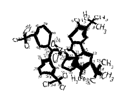 Cc1cc2c(cc1C(C)(C)C)-c1cc(C(C)(C)C)c(C)cc1[CH]2[Zr]([Cl])([Cl])(=[C](c1cccc(C(Cl)(Cl)Cl)c1)c1cccc(C(Cl)(Cl)Cl)c1)[CH]1C=CC=C1